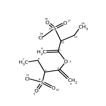 C=C(OC(=C)C(CC)S(=O)(=O)Cl)C(CC)S(=O)(=O)Cl